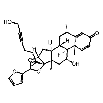 C[C@H]1C[C@H]2[C@@H]3C[C@H]4OC(c5ccco5)O[C@@]4(C(=O)SCC#CCO)[C@@]3(C)C[C@H](O)[C@]2(F)[C@@]2(C)C=CC(=O)C=C12